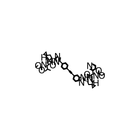 COC(=O)N[C@H](C(=O)N1CC2(CC2)C[C@H]1c1ncc(-c2ccc(C#Cc3ccc4nc([C@@H]5CC6(CC6)CN5C(=O)[C@H](NC(=O)OC)c5cccnc5)[nH]c4c3)cc2)[nH]1)C(C)C